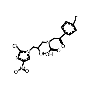 O=C(CN(CC(O)Cn1cc([N+](=O)[O-])nc1Cl)C(=O)O)c1ccc(F)cc1